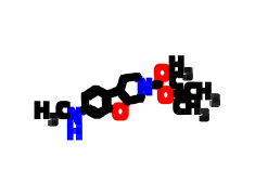 CNc1ccc2c(c1)OC1CN(C(=O)OC(C)(C)C)CCC21